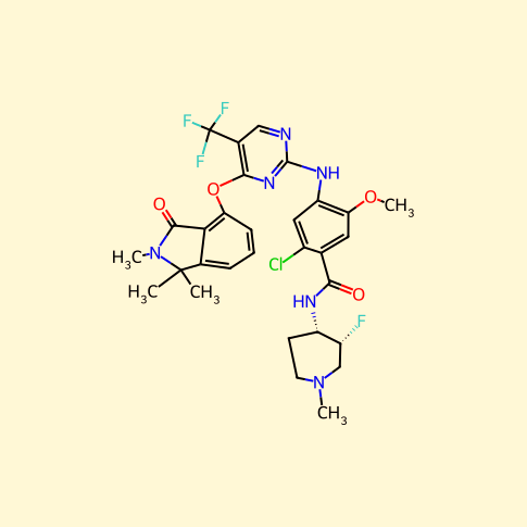 COc1cc(C(=O)N[C@H]2CCN(C)C[C@H]2F)c(Cl)cc1Nc1ncc(C(F)(F)F)c(Oc2cccc3c2C(=O)N(C)C3(C)C)n1